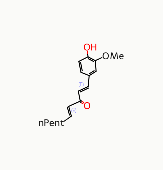 CCCCC/C=C/C(=O)/C=C/c1ccc(O)c(OC)c1